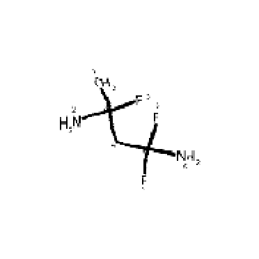 CC(N)(F)CC(N)(F)F